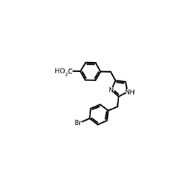 O=C(O)c1ccc(Cc2c[nH]c(Cc3ccc(Br)cc3)n2)cc1